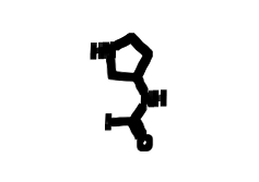 O=C(I)NC1CCNC1